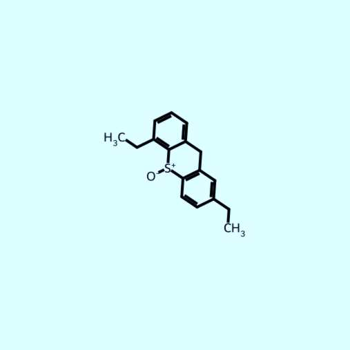 CCc1ccc2c(c1)Cc1cccc(CC)c1[S+]2[O-]